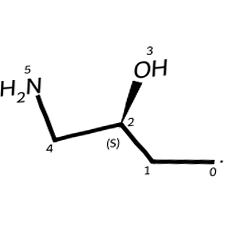 [CH2]C[C@H](O)CN